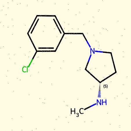 CN[C@H]1CCN(Cc2cccc(Cl)c2)C1